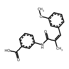 COc1cccc(C=C(C)C(=O)Nc2cccc(C(=O)O)c2)c1